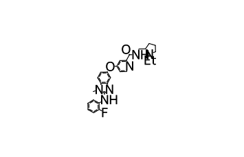 CCN1CCCC1CNC(=O)c1cc(Oc2ccc3c(c2)nc(Nc2ccccc2F)n3C)ccn1